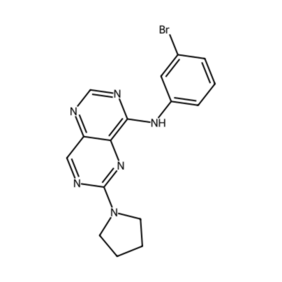 Brc1cccc(Nc2ncnc3cnc(N4CCCC4)nc23)c1